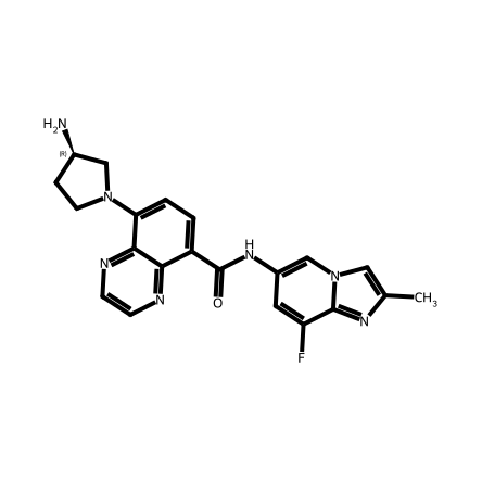 Cc1cn2cc(NC(=O)c3ccc(N4CC[C@@H](N)C4)c4nccnc34)cc(F)c2n1